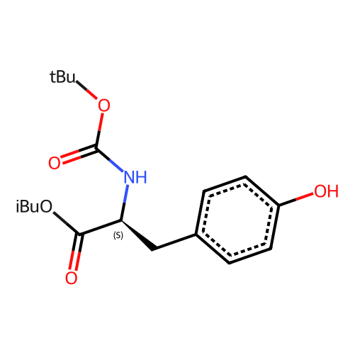 CC(C)COC(=O)[C@H](Cc1ccc(O)cc1)NC(=O)OC(C)(C)C